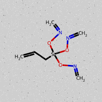 C=CC[Si](ON=C)(ON=C)ON=C